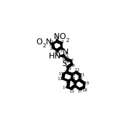 O=[N+]([O-])c1cc2nc(-c3ccc(-c4ccc5ccc6cccc7ccc4c5c67)s3)[nH]c2cc1[N+](=O)[O-]